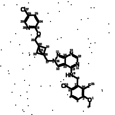 COc1ccc(Cl)c(CNc2ncnc3nn(CC45CC(COc6ccc(Cl)cn6)(C4)C5)cc23)c1F